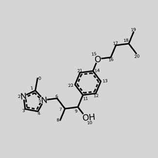 Cc1nccn1CC(C)C(O)c1ccc(OCCC(C)C)cc1